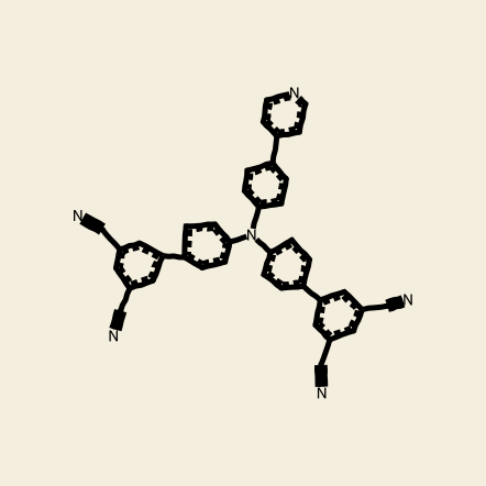 N#Cc1cc(C#N)cc(-c2ccc(N(c3ccc(-c4ccncc4)cc3)c3ccc(-c4cc(C#N)cc(C#N)c4)cc3)cc2)c1